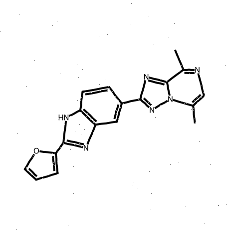 Cc1ncc(C)n2nc(-c3ccc4[nH]c(-c5ccco5)nc4c3)nc12